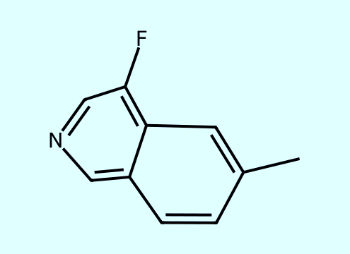 Cc1ccc2cncc(F)c2c1